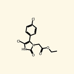 CCOC(=O)Cn1c(-c2ccc(Cl)cc2)c(Cl)[nH]c1=O